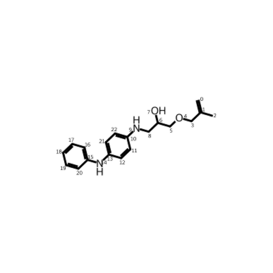 C=C(C)COCC(O)CNc1ccc(Nc2ccccc2)cc1